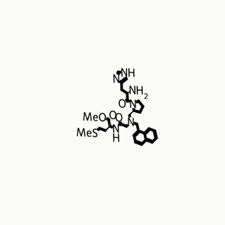 COC(=O)[C@H](CCSC)NC(=O)CN(Cc1cccc2ccccc12)C[C@@H]1CCCN1C(=O)[C@@H](N)Cc1c[nH]cn1